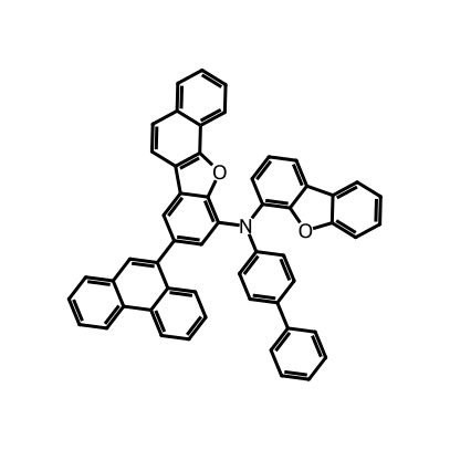 c1ccc(-c2ccc(N(c3cccc4c3oc3ccccc34)c3cc(-c4cc5ccccc5c5ccccc45)cc4c3oc3c5ccccc5ccc43)cc2)cc1